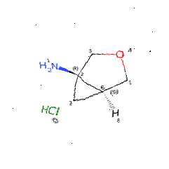 Cl.N[C@@]12COC[C@H]1C2